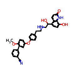 COc1ccc(Oc2ccc(CCNCC(O)c3ccc(O)c4[nH]c(=O)ccc34)cc2)cc1-c1cccc(C#N)c1